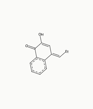 CCC=C1C=C(O)C(=O)c2ccccc21